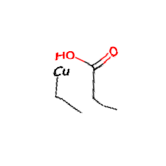 CCC(=O)O.C[CH2][Cu]